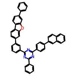 c1ccc(-c2ccc3c(c2)oc2cc(-c4cccc(-c5nc(-c6ccccc6)nc(-c6ccc(-c7ccc8ccccc8c7)cc6)n5)c4)ccc23)cc1